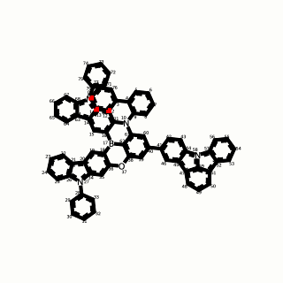 c1ccc(-c2ccccc2N2c3cc4c(cc3B3c5cc6c7ccccc7n(-c7ccccc7)c6cc5Oc5cc(-c6ccc7c(c6)c6cccc8c9ccccc9n7c86)cc2c53)c2ccccc2n4-c2ccccc2)cc1